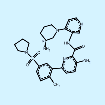 Cc1ccc(S(=O)(=O)N2CCCC2)cc1-c1ccc(N)c(C(=O)Nc2cnccc2N2CCC[C@H](N)C2)n1